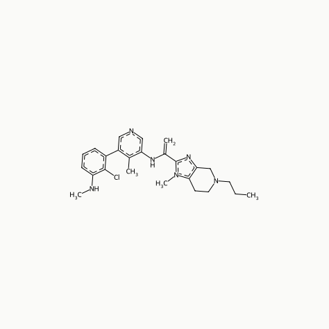 C=C(Nc1cncc(-c2cccc(NC)c2Cl)c1C)c1nc2c(n1C)CCN(CCC)C2